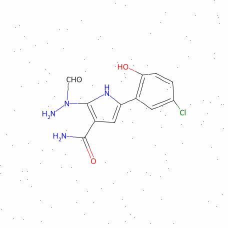 NC(=O)c1cc(-c2cc(Cl)ccc2O)[nH]c1N(N)C=O